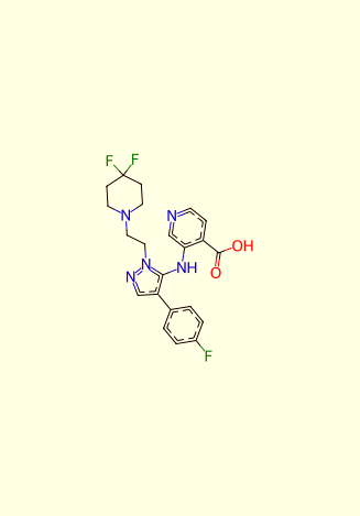 O=C(O)c1ccncc1Nc1c(-c2ccc(F)cc2)cnn1CCN1CCC(F)(F)CC1